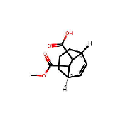 COC(=O)C1C(C(=O)O)[C@H]2C=C[C@H]1CCC2